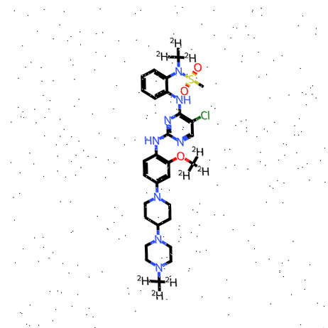 [2H]C([2H])([2H])Oc1cc(N2CCC(N3CCN(C([2H])([2H])[2H])CC3)CC2)ccc1Nc1ncc(Cl)c(Nc2ccccc2N(C([2H])([2H])[2H])S(C)(=O)=O)n1